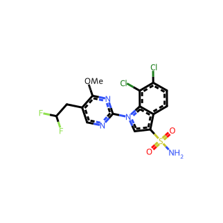 COc1nc(-n2cc(S(N)(=O)=O)c3ccc(Cl)c(Cl)c32)ncc1CC(F)F